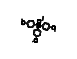 CCO[Si](c1ccc(OC)cc1)(c1ccc(OC)cc1)c1ccc(OC)cc1